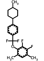 Cc1cc(C)c(OC(F)(F)c2ccc(C3CCC(C)CC3)cc2)c(F)c1F